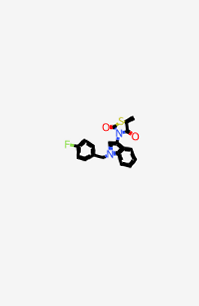 C=C1SC(=O)N(c2cn(Cc3ccc(F)cc3)c3ccccc23)C1=O